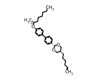 C=CCCCC[C@H]1CO[C@H](c2ccc(-c3ccc(O[C@@H](C)CCCCCC)cc3)cc2)OC1